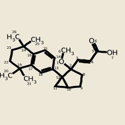 COC1(C=CC(=O)O)CCC2CC21c1ccc2c(c1)C(C)(C)CCC2(C)C